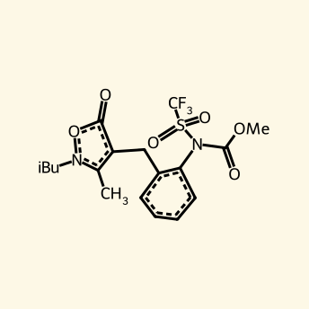 CCC(C)n1oc(=O)c(Cc2ccccc2N(C(=O)OC)S(=O)(=O)C(F)(F)F)c1C